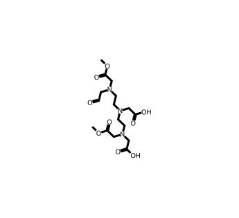 COC(=O)CN(CC=O)CCN(CCN(CC(=O)O)CC(=O)OC)CC(=O)O